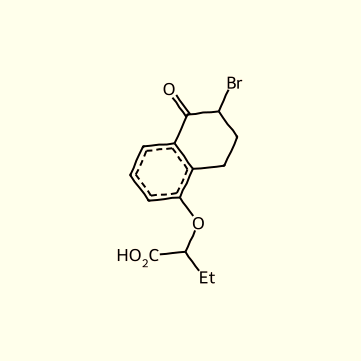 CCC(Oc1cccc2c1CCC(Br)C2=O)C(=O)O